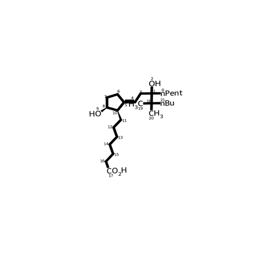 CCCCCC(O)(CC=C1CC[C@H](O)[C@@H]1CCCCCCC(=O)O)C(C)(C)CCCC